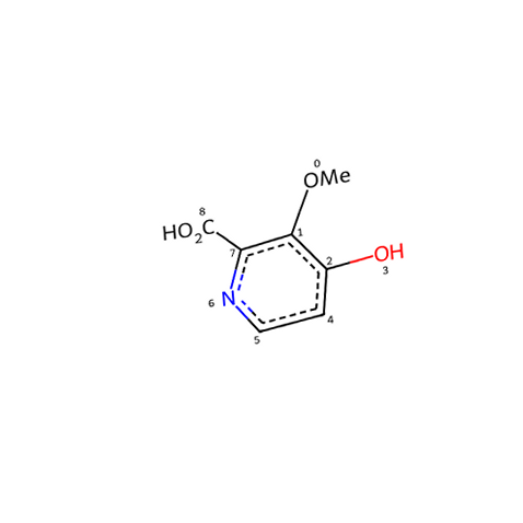 COc1c(O)ccnc1C(=O)O